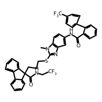 Cn1c(SCCCC2(C(=O)NCC(F)(F)F)c3ccccc3-c3ccccc32)nc2cc(NC(=O)c3ccccc3-c3ccc(C(F)(F)F)cc3)ccc21